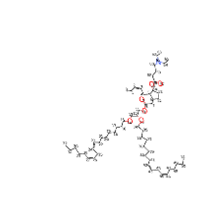 CC/C=C\CC1C(CC(=O)OCC(COCCCCCCCC/C=C\C/C=C\CCCCC)OCCCCCCCC/C=C\C/C=C\CCCCC)CCC1OC(=O)CCCN(CC)CC